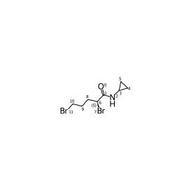 O=C(NC1CC1)[C@@H](Br)CCCBr